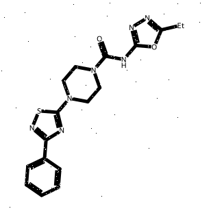 CCc1nnc(NC(=O)N2CCN(c3nc(-c4ccccc4)ns3)CC2)o1